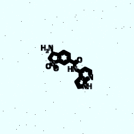 N[C@H]1CS(=O)(=O)c2cc(C(=O)Nc3ccnc4[nH]ccc34)ccc21